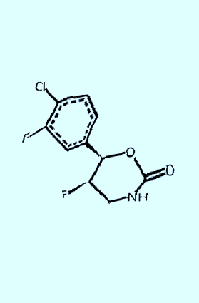 O=C1NC[C@@H](F)[C@@H](c2ccc(Cl)c(F)c2)O1